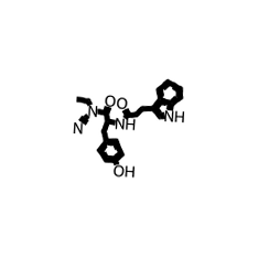 CCN(C#N)C(=O)C(Cc1ccc(O)cc1)NC(=O)CCc1c[nH]c2ccccc12